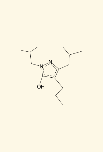 CCCc1c(CC(C)C)nn(CC(C)C)c1O